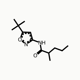 CCCC(C)C(=O)Nc1cc(C(C)(C)C)on1